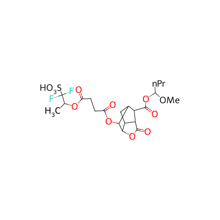 CCCC(OC)OC(=O)C1C2CC3C(OC(=O)C31)C2OC(=O)CCC(=O)OC(C)C(F)(F)S(=O)(=O)O